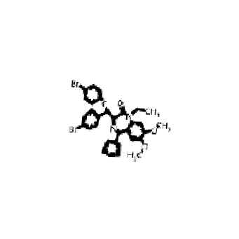 CCN1C(=O)C(C(Cc2ccc(Br)cc2)c2ccc(Br)cc2)N=C(c2ccccc2)c2cc(OC)c(OC)cc21